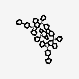 c1ccc(-c2ccc(-n3c4ccccc4c4cc(N(c5ccccc5)c5ccc6c(c5)C5(c7cc(N(c8ccccc8)c8cc9c%10ccccc%10n(-c%10ccc(-c%11ccccc%11)cc%10)c9c9ccccc89)ccc7-6)c6ccccc6N(c6ccccc6)c6ccccc65)c5ccccc5c43)cc2)cc1